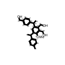 COc1c(C(C)c2ccc(C)cc2)cc(C(C)c2ccc(CO)cc2)c(CO)c1CO